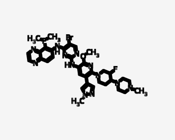 COc1nc(N2CCC(N3CCN(C)CC3)C(F)C2)c(-c2cnn(C)c2)cc1Nc1ncc(Br)c(Nc2ccc3nccnc3c2P(C)C)n1